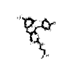 OCCNc1ncc(Cc2cccc(C(F)(F)F)c2)c(Cc2ccc(Cl)cc2)n1